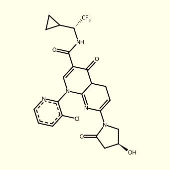 O=C(N[C@H](C1CC1)C(F)(F)F)C1=CN(c2ncccc2Cl)C2=NC(N3C[C@@H](O)CC3=O)=CCC2C1=O